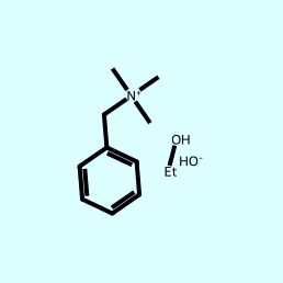 CCO.C[N+](C)(C)Cc1ccccc1.[OH-]